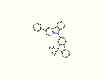 CC1(C)c2ccccc2-c2ccc(-n3c4ccccc4c4cc(-c5ccccc5)ccc43)cc21